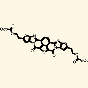 CCCCCCCCC(=O)OCCc1cc2c(nc3c4ccc5c6c(sc(c(=O)n23)c46)c(=O)n2c3cc(CCOC(=O)CCCCCCCC)sc3nc52)s1